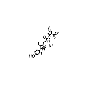 CCc1c(-c2ccc(O)cc2F)noc1CCC(=O)Nc1cn(CC)cc1C(=O)[O-].[K+]